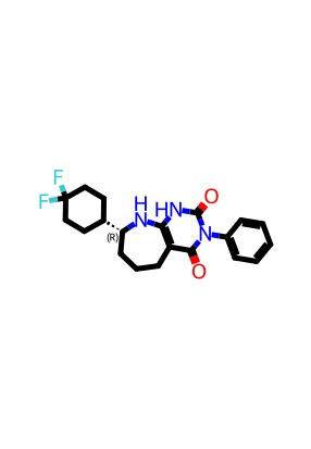 O=c1[nH]c2c(c(=O)n1-c1ccccc1)CCC[C@H](C1CCC(F)(F)CC1)N2